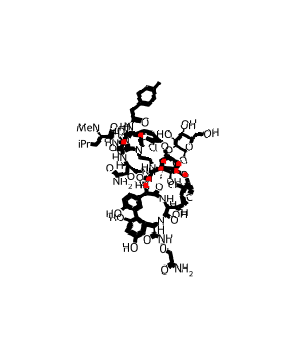 CN[C@H](CC(C)C)C(=O)N[C@H]1C(=O)N[C@@H](CC(N)=O)C(=O)N[C@H]2C(=O)N[C@H]3C(=O)N[C@H](C(=O)N[C@@H](C(=O)NOCC(N)=O)c4cc(O)cc(O)c4-c4cc3ccc4O)[C@H](O)c3ccc(c(Cl)c3)Oc3cc2cc(c3O[C@@H]2O[C@H](CO)[C@@H](O)[C@H](O)[C@H]2O[C@H]2C[C@](C)(NCCn3ccc(NC(=O)CC4CCC(C)CC4)nc3=O)[C@H](O)[C@H](C)O2)Oc2ccc(cc2Cl)[C@H]1O